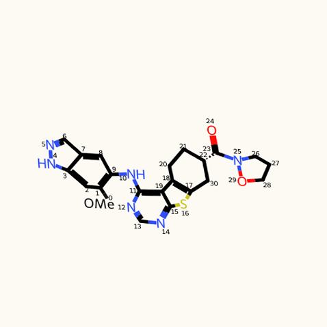 COc1cc2[nH]ncc2cc1Nc1ncnc2sc3c(c12)CC[C@H](C(=O)N1CCCO1)C3